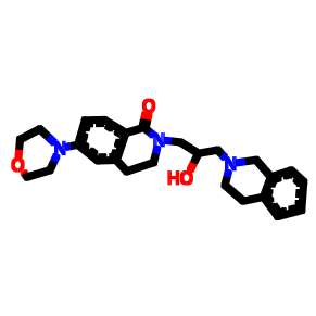 O=C1c2ccc(N3CCOCC3)cc2CCN1CC(O)CN1CCc2ccccc2C1